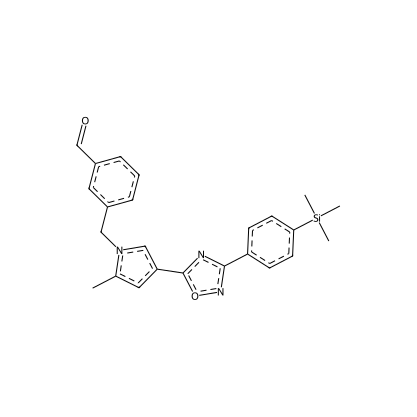 Cc1cc(-c2nc(-c3ccc([Si](C)(C)C)cc3)no2)cn1Cc1cccc(C=O)c1